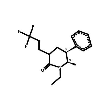 CCN1C(=O)C(CCC(F)(F)F)C[C@@H](c2ccccc2)[C@H]1C